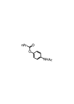 CCCC(=O)Oc1ccc(NC(C)=O)cc1